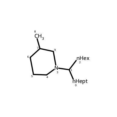 CCCCCCCC(CCCCCC)N1CCCC(C)C1